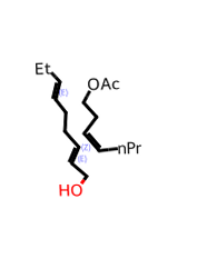 CC/C=C/CC/C=C/CO.CCC/C=C\CCOC(C)=O